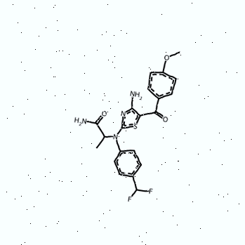 COc1ccc(C(=O)c2sc(N(c3ccc(C(F)F)cc3)C(C)C(N)=O)nc2N)cc1